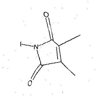 CC1=C(C)C(=O)N(I)C1=O